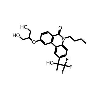 CCCCn1c(=O)c2ccc(OC(CO)CO)cc2c2cc(C(C)(O)C(F)(F)F)ccc21